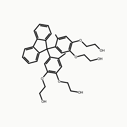 Cc1cc(OCCO)c(OCCO)cc1C1(c2cc(OCCO)c(OCCO)cc2C)c2ccccc2-c2ccccc21